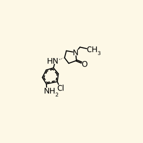 CCN1C[C@@H](Nc2ccc(N)c(Cl)c2)CC1=O